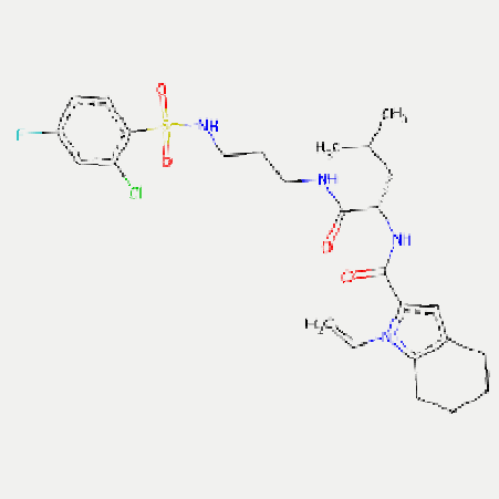 C=Cn1c(C(=O)N[C@@H](CC(C)C)C(=O)NCCCNS(=O)(=O)c2ccc(F)cc2Cl)cc2c1CCCC2